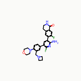 Nc1nc(F)c(-c2ccc(N3CCOCC3)c(CN3CCC3)c2)cc1-c1cc2c(cc1F)C(=O)NCC2